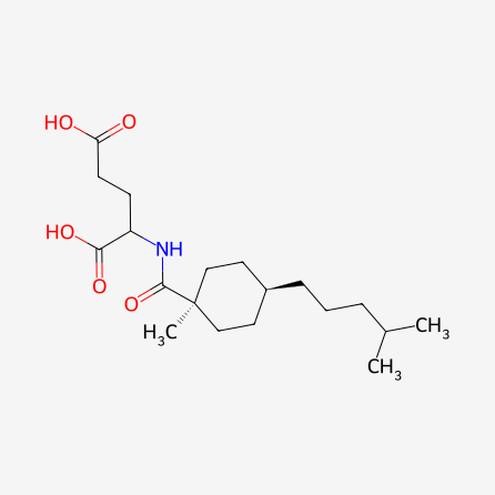 CC(C)CCC[C@H]1CC[C@@](C)(C(=O)NC(CCC(=O)O)C(=O)O)CC1